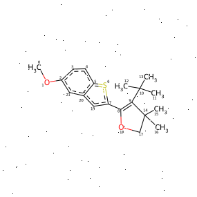 COc1ccc2sc(C3=C(C(C)(C)C)C(C)(C)CO3)cc2c1